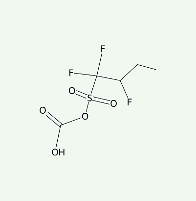 CCC(F)C(F)(F)S(=O)(=O)OC(=O)O